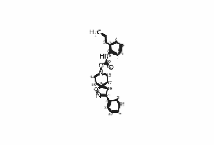 CCCc1ccccc1NC(=O)ON1CCC2(CC1)CC(c1ccccc1)=NO2